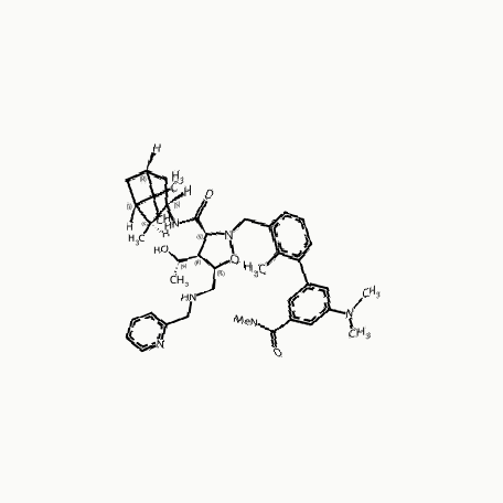 CNC(=O)c1cc(-c2cccc(CN3O[C@@H](CNCc4ccccn4)[C@@H]([C@H](C)O)[C@H]3C(=O)N[C@H]3C[C@H]4C[C@@H]([C@@H]3C)C4(C)C)c2C)cc(N(C)C)c1